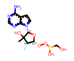 CC1(O)[C@@H](F)[C@@H](OOP(O)CO)O[C@H]1n1ccc2c(N)ncnc21